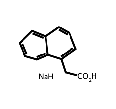 O=C(O)Cc1cccc2ccccc12.[NaH]